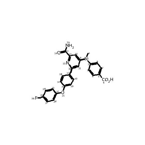 CN(c1ccc(C(=O)O)cc1)c1cc(C(N)=O)nc(-c2ccc(Oc3ccc(F)cc3)cc2)c1